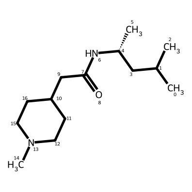 CC(C)C[C@@H](C)NC(=O)CC1CCN(C)CC1